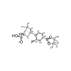 CC(C)(C)C[C@H](CNC(=O)O)c1ccc(B2OC(C)(C)C(C)(C)O2)cc1F